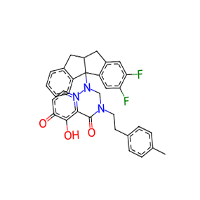 Cc1ccc(CCN2CN(C34c5ccccc5CC3Cc3cc(F)c(F)cc34)n3ccc(=O)c(O)c3C2=O)cc1